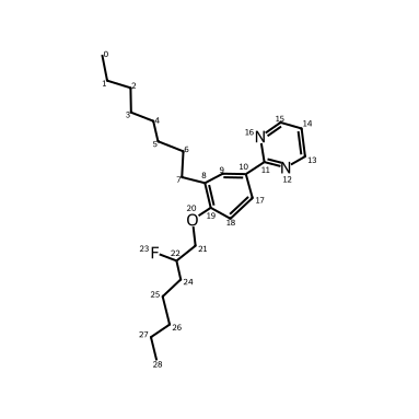 CCCCCCCCc1cc(-c2ncccn2)ccc1OCC(F)CCCCC